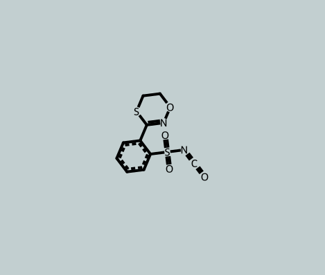 O=C=NS(=O)(=O)c1ccccc1C1=NOCCS1